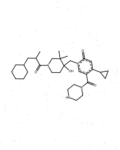 CC(CC1CCCCC1)C(=O)N1CCC(O)(Cn2cc(C(=O)N3CCNCC3)c(C3CC3)cc2=O)C(C)(C)C1